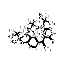 C=C(c1ccc(O[Si](C)(C)C(C)(C)C)c(O[Si](C)(C)C(C)(C)C)c1)C(NC(=O)OC(C)(C)C)C(=O)O